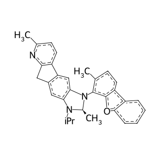 Cc1ccc2c(n1)Cc1cc3c(cc1-2)N(c1c(C)ccc2c1oc1ccccc12)[C@@H](C)N3C(C)C